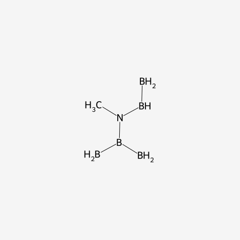 BBN(C)B(B)B